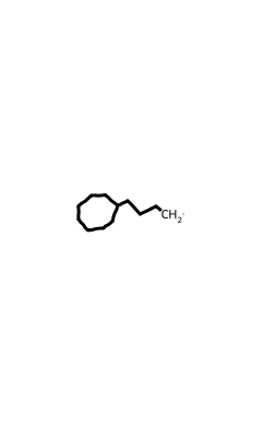 [CH2]CCCC1CCCCCCC1